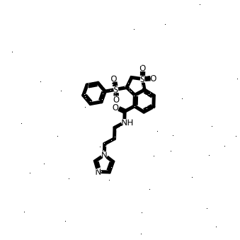 O=C(NCCCn1ccnc1)c1cccc2c1C(S(=O)(=O)c1ccccc1)CS2(=O)=O